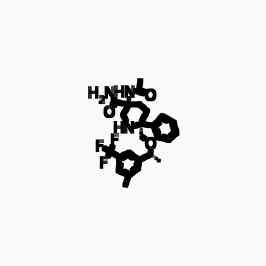 CC(=O)N[C@@]1(C(N)=O)CC[C@@](CO[C@H](C)c2cc(C)cc(C(F)(F)F)c2)(c2ccccc2)NC1